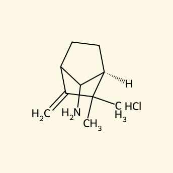 C=C1C2CC[C@H](C2N)C1(C)C.Cl